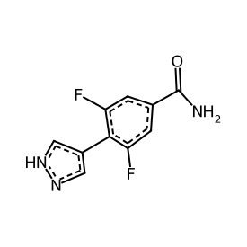 NC(=O)c1cc(F)c(-c2cn[nH]c2)c(F)c1